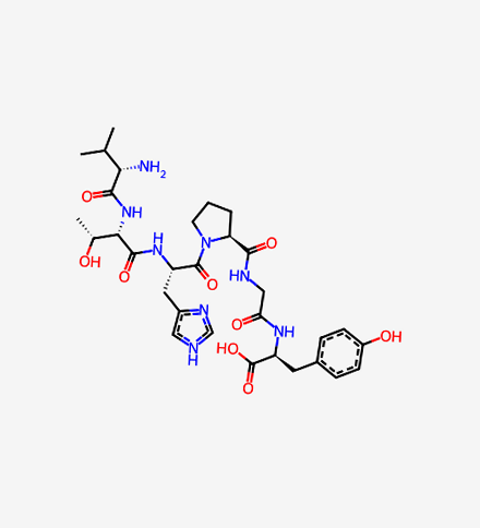 CC(C)[C@H](N)C(=O)N[C@H](C(=O)N[C@@H](Cc1c[nH]cn1)C(=O)N1CCC[C@H]1C(=O)NCC(=O)N[C@@H](Cc1ccc(O)cc1)C(=O)O)[C@@H](C)O